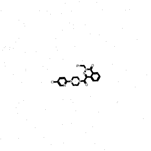 CC(C)Cn1nc(C(=O)N2CCN(c3ccc(Cl)cn3)CC2)c2ccccc2c1=O